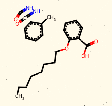 CCCCCCCCOc1ccccc1C(=O)O.Cc1ccccc1.N=C=O.N=C=O